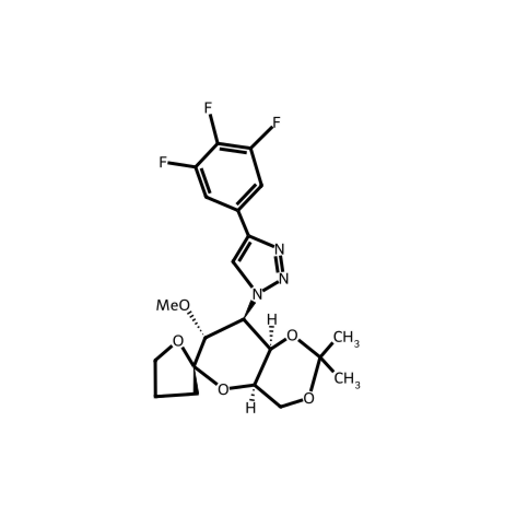 CO[C@@H]1[C@@H](n2cc(-c3cc(F)c(F)c(F)c3)nn2)[C@H]2OC(C)(C)OC[C@H]2O[C@@]12CCCO2